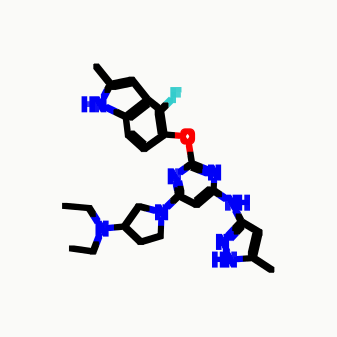 CCN(CC)C1CCN(c2cc(Nc3cc(C)[nH]n3)nc(Oc3ccc4[nH]c(C)cc4c3F)n2)C1